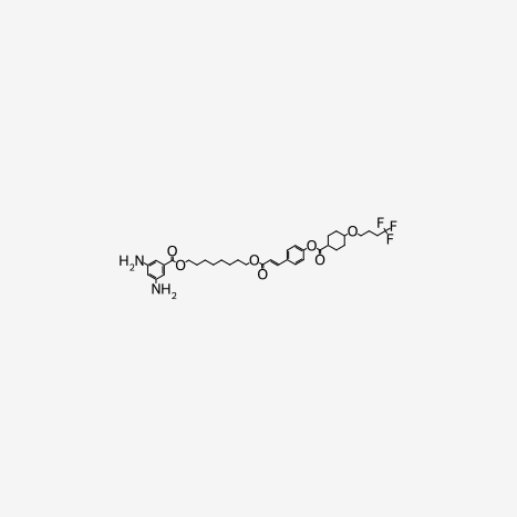 Nc1cc(N)cc(C(=O)OCCCCCCCCOC(=O)C=Cc2ccc(OC(=O)C3CCC(OCCCC(F)(F)F)CC3)cc2)c1